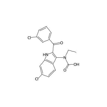 CCN(C(=O)O)c1c(C(=O)c2cccc(Cl)c2)[nH]c2cc(Cl)ccc12